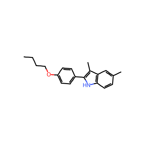 CCCCOc1ccc(-c2[nH]c3ccc(C)cc3c2C)cc1